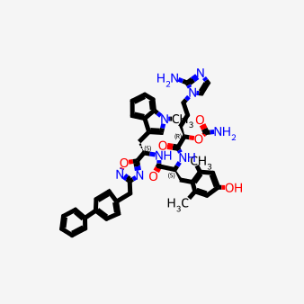 Cc1cc(O)cc(C)c1C[C@H](NC(=O)[C@@H](CCCn1ccnc1N)OC(N)=O)C(=O)N[C@@H](Cc1cn(C)c2ccccc12)c1nc(Cc2ccc(-c3ccccc3)cc2)no1